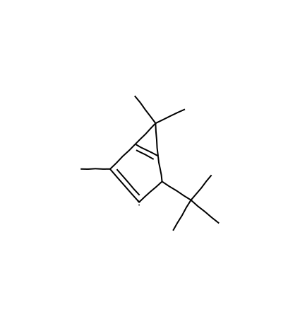 CC1=[C]C(C(C)(C)C)C2=C1C2(C)C